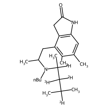 [2H]C(C)(C)C([2H])([2H])C([2H])(C)N(CCCC)C(C)Cc1c(C)c(C)cc2c1CC(=O)N2